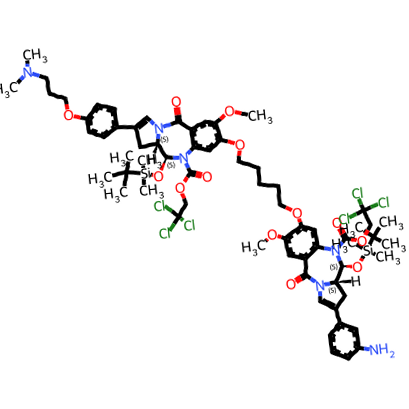 COc1cc2c(cc1OCCCCCOc1cc3c(cc1OC)C(=O)N1C=C(c4cccc(N)c4)C[C@H]1[C@H](O[Si](C)(C)C(C)(C)C)N3C(=O)OCC(Cl)(Cl)Cl)N(C(=O)OCC(Cl)(Cl)Cl)[C@@H](O[Si](C)(C)C(C)(C)C)[C@@H]1CC(c3ccc(OCCCN(C)C)cc3)=CN1C2=O